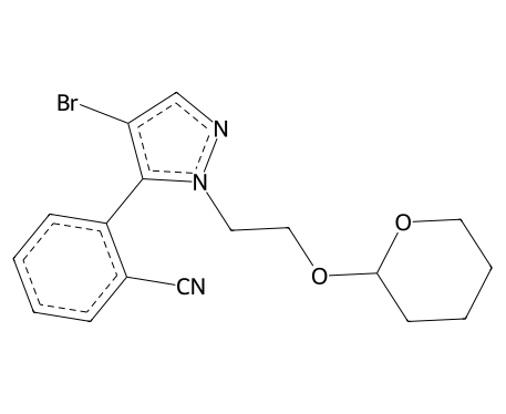 N#Cc1ccccc1-c1c(Br)cnn1CCOC1CCCCO1